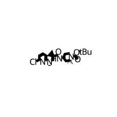 C[C@@H]1C[C@H](NC(=O)C2(CN(C)c3cccc(Cl)n3)CC2)CCN1C(=O)OC(C)(C)C